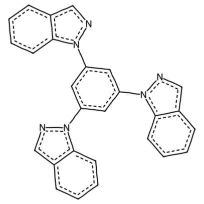 c1ccc2c(c1)cnn2-c1cc(-n2ncc3ccccc32)cc(-n2ncc3ccccc32)c1